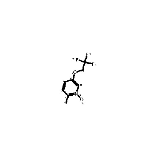 Cc1ccc(OCC(F)(F)F)c[n+]1[O-]